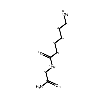 NC(=O)CNC(=O)CCCCCO